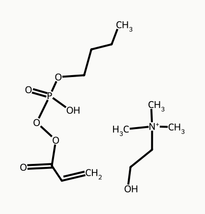 C=CC(=O)OOP(=O)(O)OCCCC.C[N+](C)(C)CCO